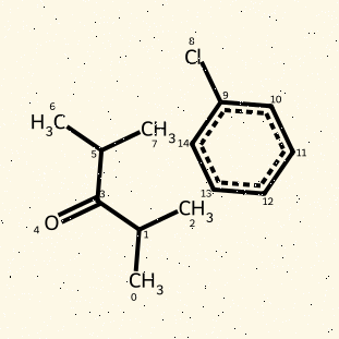 CC(C)C(=O)C(C)C.Clc1ccccc1